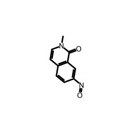 Cn1ccc2ccc(N=O)cc2c1=O